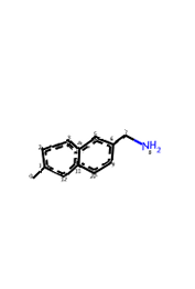 Cc1ccc2cc(CN)ccc2c1